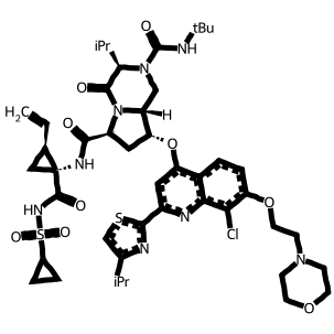 C=C[C@@H]1C[C@]1(NC(=O)[C@@H]1C[C@@H](Oc2cc(-c3nc(C(C)C)cs3)nc3c(Cl)c(OCCN4CCOCC4)ccc23)[C@H]2CN(C(=O)NC(C)(C)C)[C@H](C(C)C)C(=O)N21)C(=O)NS(=O)(=O)C1CC1